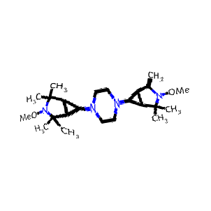 C=C1C2C(N3CCN(C4C5C4C(C)(C)N(OC)C5(C)C)CC3)C2C(C)(C)N1OC